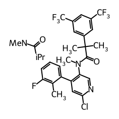 CNC(=O)C(C)C.Cc1c(F)cccc1-c1cc(Cl)ncc1N(C)C(=O)C(C)(C)c1cc(C(F)(F)F)cc(C(F)(F)F)c1